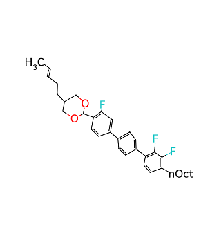 C/C=C/CCC1COC(c2ccc(-c3ccc(-c4ccc(CCCCCCCC)c(F)c4F)cc3)cc2F)OC1